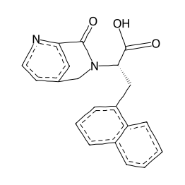 O=C(O)[C@H](Cc1cccc2ccccc12)N1Cc2ccnc(c2)C1=O